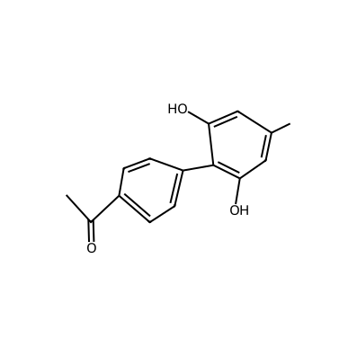 CC(=O)c1ccc(-c2c(O)cc(C)cc2O)cc1